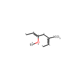 CC=C(CC(=CC)C(Cl)(Cl)Cl)OCC